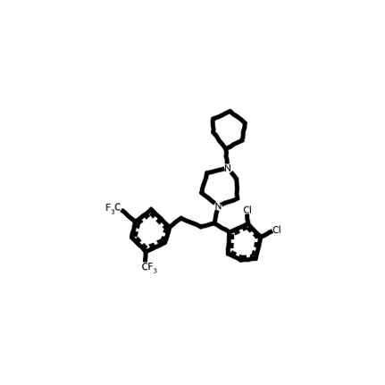 FC(F)(F)c1cc(C[CH]C(c2cccc(Cl)c2Cl)N2CCN(C3CCCCC3)CC2)cc(C(F)(F)F)c1